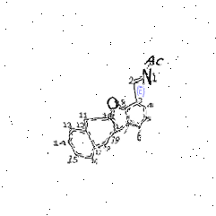 CC(=O)/N=C/c1cccc2c1oc1cc3ccccc3cc12